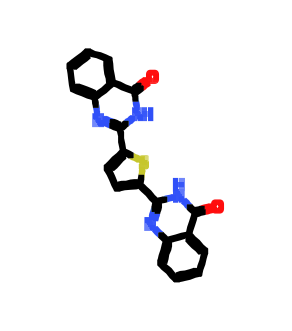 O=c1[nH]c(-c2ccc(-c3nc4ccccc4c(=O)[nH]3)s2)nc2ccccc12